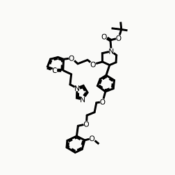 COc1ccccc1COCCCOc1ccc(C2CCN(C(=O)OC(C)(C)C)CC2OCCOc2ccccc2CCn2ccnc2)cc1